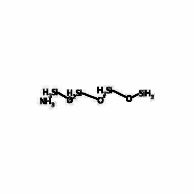 N.[SiH3]O[SiH2]O[SiH2]O[SiH3]